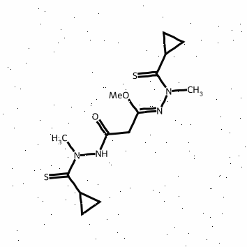 CO/C(CC(=O)NN(C)C(=S)C1CC1)=N\N(C)C(=S)C1CC1